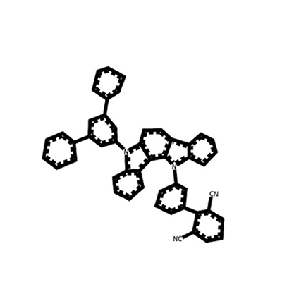 N#Cc1cccc(C#N)c1-c1cccc(-n2c3ccccc3c3ccc4c(c5ccccc5n4-c4cc(-c5ccccc5)cc(-c5ccccc5)c4)c32)c1